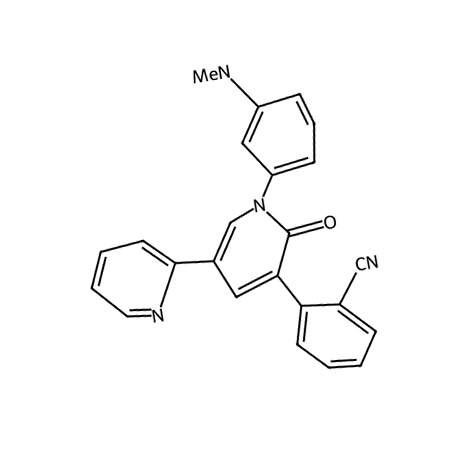 CNc1cccc(-n2cc(-c3ccccn3)cc(-c3ccccc3C#N)c2=O)c1